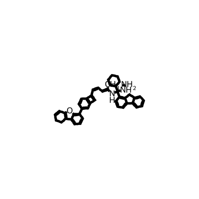 C/C(=C\C=C/C1=Cc2cc(-c3cccc4c5c(oc34)C=CCC5)ccc21)NC(NN)(c1cccc2c1Cc1ccccc1-2)C1CCCCC1